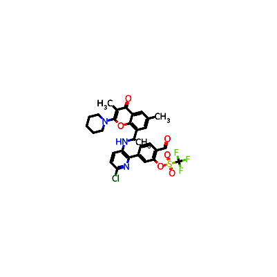 Cc1cc(C(C)Nc2ccc(Cl)nc2-c2ccc(C=O)c(OS(=O)(=O)C(F)(F)F)c2)c2oc(N3CCCCC3)c(C)c(=O)c2c1